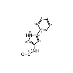 O=CNc1cc(-c2ccccc2)[nH]n1